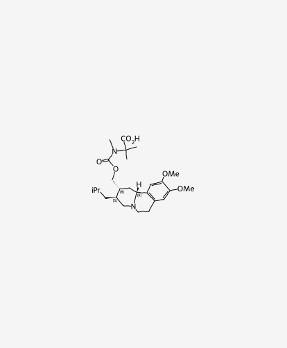 COc1cc2c(cc1OC)[C@H]1C[C@@H](COC(=O)N(C)C(C)(C)C(=O)O)[C@H](CC(C)C)CN1CC2